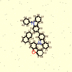 C1=c2oc3cc(-c4cccc5ccccc45)cc(-n4c5ccccc5c5ccc(-c6ccc7c(c6)c6ccccc6n7-c6ccccc6)cc54)c3c2=CCC1